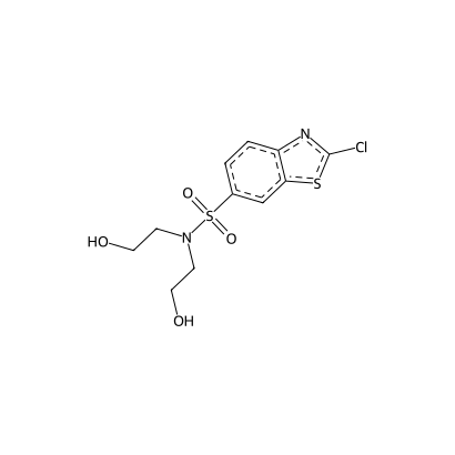 O=S(=O)(c1ccc2nc(Cl)sc2c1)N(CCO)CCO